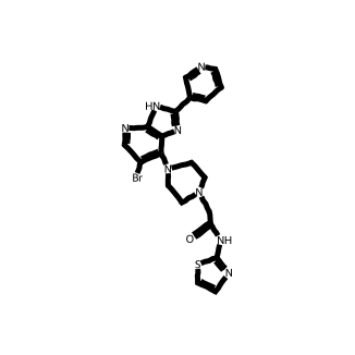 O=C(CN1CCN(c2c(Br)cnc3[nH]c(-c4cccnc4)nc23)CC1)Nc1nccs1